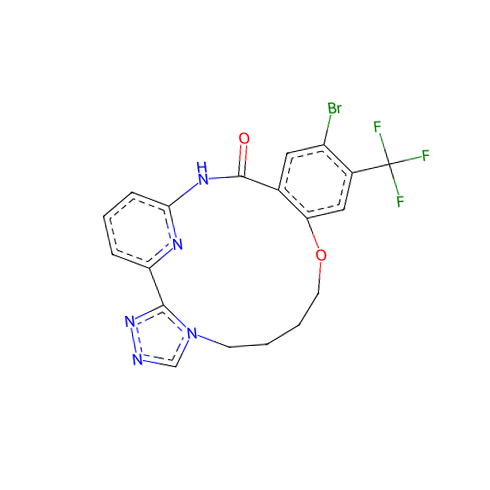 O=C1Nc2cccc(n2)-c2nncn2CCCCOc2cc(C(F)(F)F)c(Br)cc21